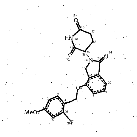 COc1ccc(COc2cccc3c2CN([C@H]2CCC(=O)NC2=O)C3=O)c(F)c1